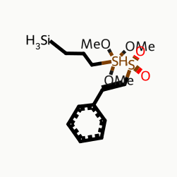 CO[SH](CCC[SiH3])(OC)(OC)S(=O)(=O)C=Cc1ccccc1